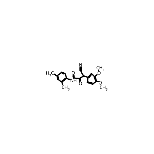 COc1ccc(C(C#N)C(=O)C(=O)Nc2ccc(C)cc2C)cc1OC